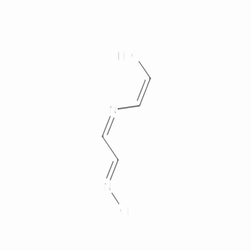 C\C=C/N=C\C=N\C